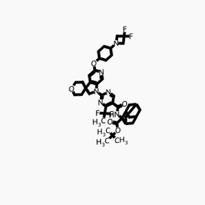 CC(C)(C)OC(=O)C1(NC(=O)c2cnc(N3CC4(CCOCC4)c4cc(OC5CCC(N6CC(F)(F)C6)CC5)ncc43)nc2C(C)(F)F)C2CC3CC(C2)CC1C3